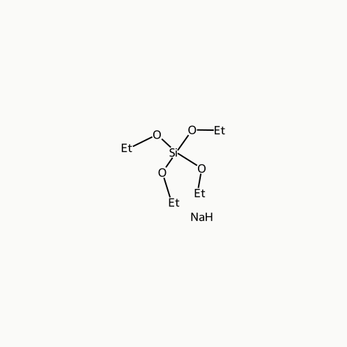 CCO[Si](OCC)(OCC)OCC.[NaH]